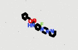 O=C(Nc1ccc(N2CCN(c3ccccn3)CC2)c(F)c1)OCc1ccccc1